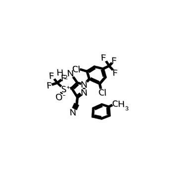 Cc1ccccc1.N#Cc1nn(-c2c(Cl)cc(C(F)(F)F)cc2Cl)c(N)c1[S+]([O-])C(F)(F)F